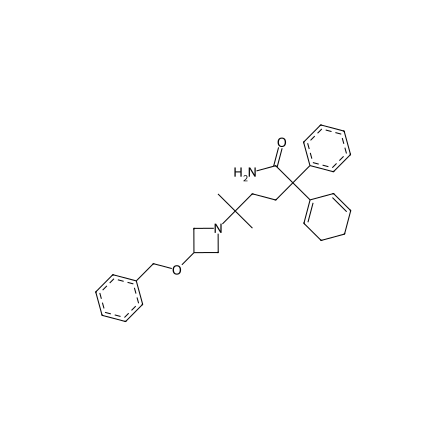 CC(C)(CCC(C(N)=O)(C1=CCCC=C1)c1ccccc1)N1CC(OCc2ccccc2)C1